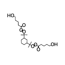 CC(C)(OOC(=O)CCCCO)C1CCCC(C(C)(C)OOC(=O)CCCCO)C1